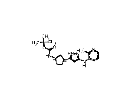 Cc1ncccc1Nc1cc([C@H]2CC[C@@H](NC(=O)OC(C)(C)C)C2)[nH]n1